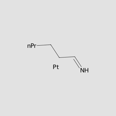 CCCCCC=N.[Pt]